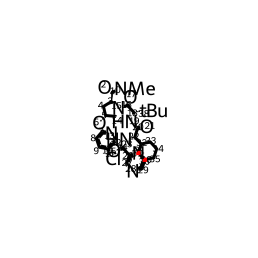 CNC(=O)[C@@H]1C[C@@H](Oc2ccc(Cl)cn2)CN1C(=O)[C@@H](NC(=O)[C@@H](NC(=O)c1cnccn1)C1CCCCC1)C(C)(C)C